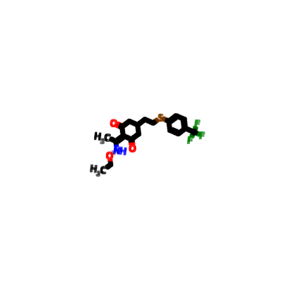 CCONC(C)=C1C(=O)CC(CCSc2ccc(C(F)(F)F)cc2)CC1=O